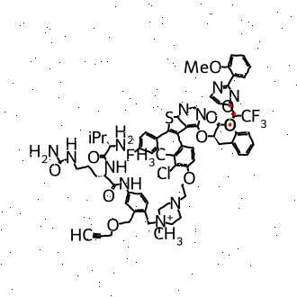 C#CCOCc1cc(NC(=O)[C@H](CCCNC(N)=O)NC(=O)[C@@H](N)C(C)C)ccc1C[N+]1(C)CCN(CCOc2ccc(-c3c(-c4ccc(F)cc4)sc4ncnc(O[C@H](Cc5ccccc5OCc5ccnc(-c6ccccc6OC)n5)C(=O)OC(=O)C(F)(F)F)c34)c(C)c2Cl)CC1